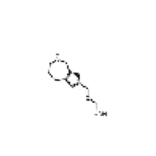 COCOCc1cc2n(n1)CCCNC2